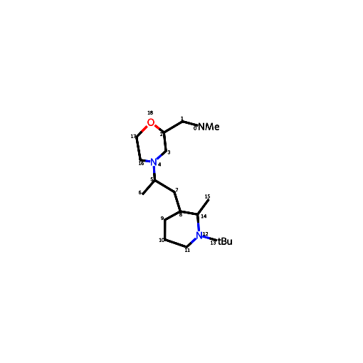 CNCC1CN(C(C)CC2CCCN(C(C)(C)C)C2C)CCO1